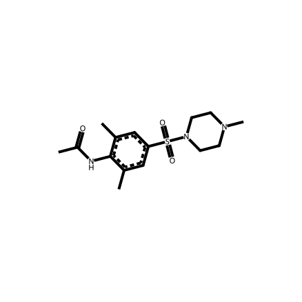 CC(=O)Nc1c(C)cc(S(=O)(=O)N2CCN(C)CC2)cc1C